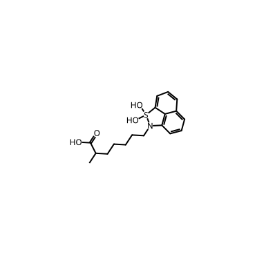 CC(CCCCCN1c2cccc3cccc(c23)S1(O)O)C(=O)O